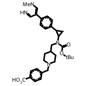 CN/C=C(\C=N)c1ccc(C2CC2N(CC2CCN(Cc3ccc(C(=O)O)cc3)CC2)C(=O)OC(C)(C)C)cc1